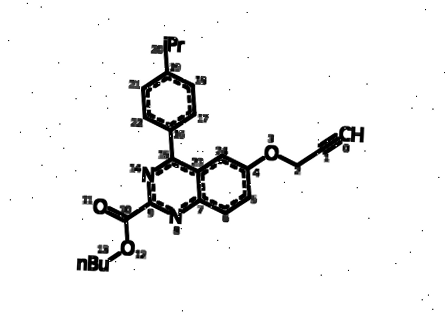 C#CCOc1ccc2nc(C(=O)OCCCC)nc(-c3ccc(C(C)C)cc3)c2c1